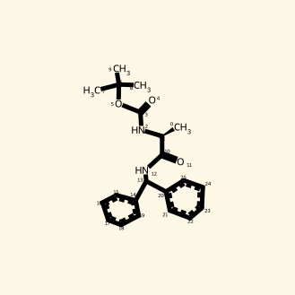 C[C@H](NC(=O)OC(C)(C)C)C(=O)NC(c1ccccc1)c1ccccc1